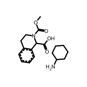 COC(=O)N1CCc2ccccc2C1C(=O)O.NC1CCCCC1